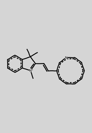 C[N+]1=C(/C=C/c2cccccccnc2)C(C)(C)c2ccccc21